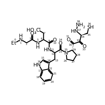 CCNCC(=O)NC(CC(=O)O)C(=O)NC(Cc1c[nH]c2ccccc12)C(=O)N1CCC[C@H]1C(=O)C(=O)[C@H](CS)NN